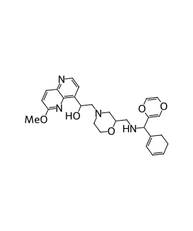 COc1ccc2nccc(C(O)CN3CCOC(CNC(C4=CC=CCC4)C4=COC=CO4)C3)c2n1